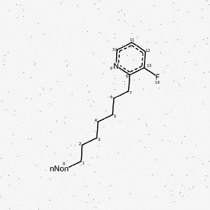 CCCCCCCCCCCCCCCCc1ncccc1F